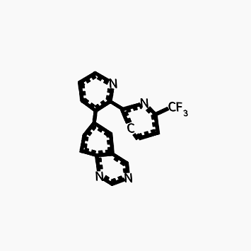 FC(F)(F)c1cccc(-c2ncccc2-c2ccc3ncncc3c2)n1